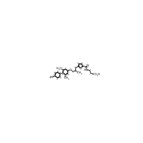 Cc1cc(OCC(C)Cc2ccc(C(=O)NCCC(=O)O)s2)cc(C)c1-c1ccc(C(C)C)cc1